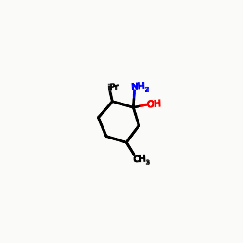 CC1CCC(C(C)C)C(N)(O)C1